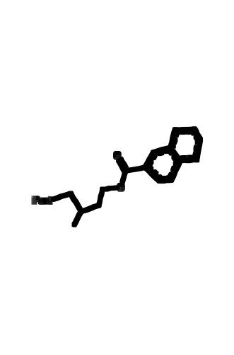 CCCC(C)CC(C)CCOC(=O)c1ccc2ccccc2c1